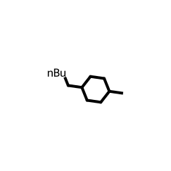 CCCCCC1CCC(C)CC1